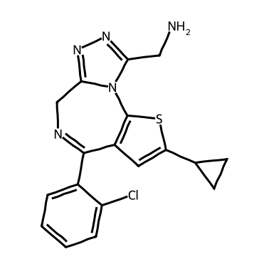 NCc1nnc2n1-c1sc(C3CC3)cc1C(c1ccccc1Cl)=NC2